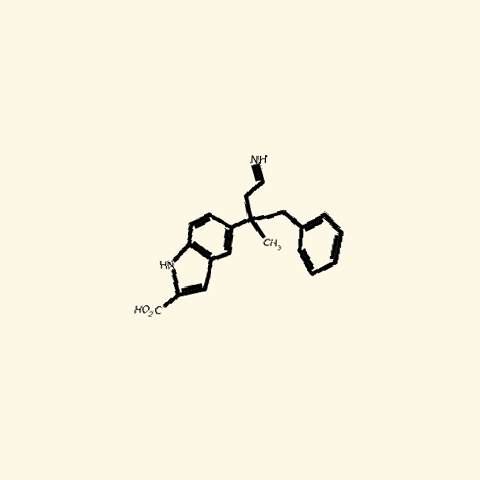 CC(CC=N)(Cc1ccccc1)c1ccc2[nH]c(C(=O)O)cc2c1